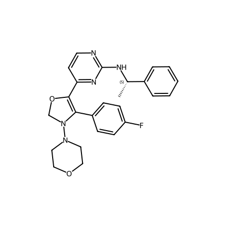 C[C@H](Nc1nccc(C2=C(c3ccc(F)cc3)N(N3CCOCC3)CO2)n1)c1ccccc1